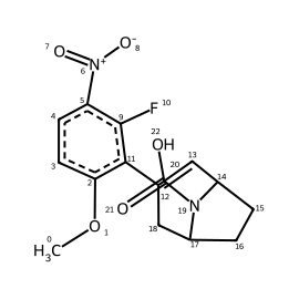 COc1ccc([N+](=O)[O-])c(F)c1C1=CC2CCC(C1)N2C(=O)O